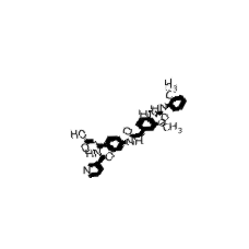 COc1cc(CC(=O)Nc2ccc([C@@H](CC(=O)O)NC(=O)c3cccnc3)cc2)ccc1NC(=O)Nc1ccccc1C